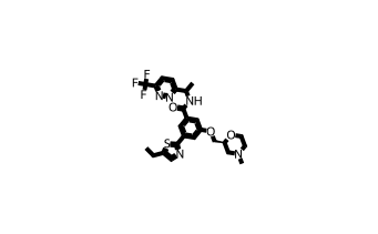 CCc1cnc(-c2cc(OC[C@@H]3CN(C)CCO3)cc(C(=O)NC(C)c3ccc(C(F)(F)F)nn3)c2)s1